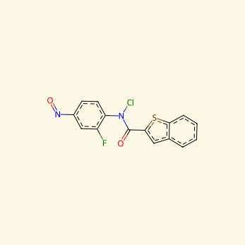 O=Nc1ccc(N(Cl)C(=O)c2cc3ccccc3s2)c(F)c1